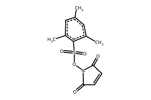 Cc1cc(C)c(S(=O)(=O)ON2C(=O)C=CC2=O)c(C)c1